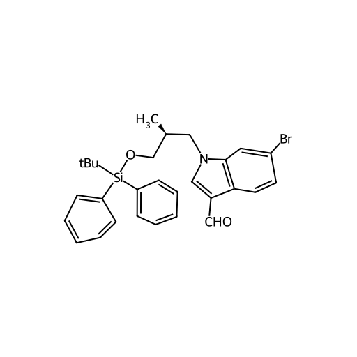 C[C@H](CO[Si](c1ccccc1)(c1ccccc1)C(C)(C)C)Cn1cc(C=O)c2ccc(Br)cc21